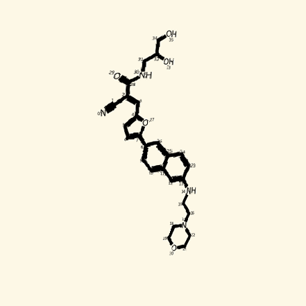 N#C/C(=C\c1ccc(-c2ccc3cc(NCCN4CCOCC4)ccc3c2)o1)C(=O)NCC(O)CO